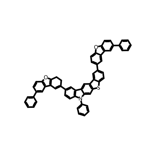 C1=C(c2ccc3c(c2)c2cc4c(cc2n3-c2ccccc2)sc2ccc(-c3ccc5oc6ccc(-c7ccccc7)cc6c5c3)cc24)CCc2oc3ccc(-c4ccccc4)cc3c21